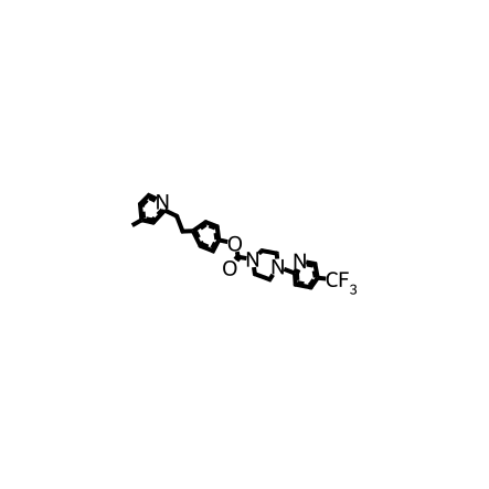 Cc1ccnc(CCc2ccc(OC(=O)N3CCN(c4ccc(C(F)(F)F)cn4)CC3)cc2)c1